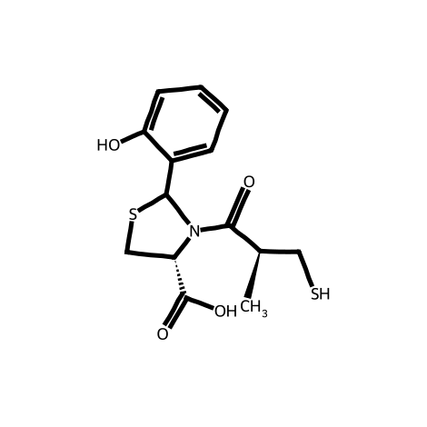 C[C@H](CS)C(=O)N1C(c2ccccc2O)SC[C@H]1C(=O)O